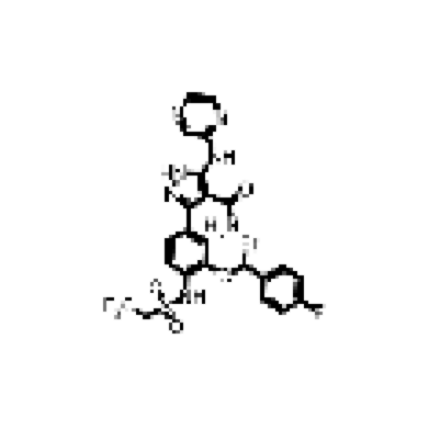 CC[C@H](Oc1cc(-c2n[nH]c(Nc3cnccn3)c2C(N)=O)ccc1NS(=O)(=O)CC(F)(F)F)c1ccc(F)cc1